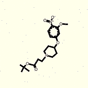 COc1cc(OC2CCN(CCC(=O)OC(C)(C)C)CC2)ccc1[N+](=O)[O-]